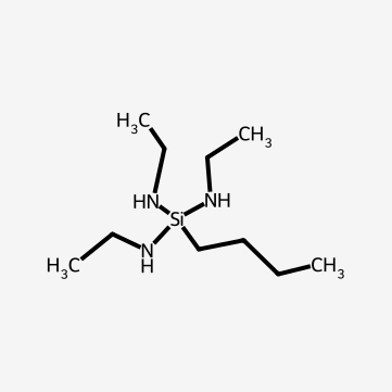 CCCC[Si](NCC)(NCC)NCC